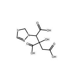 O=C(O)CC(O)(C(=O)O)C(C(=O)O)N1CSC=N1